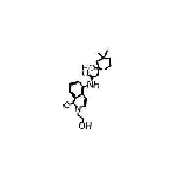 CC1(C)CCCC(O)(CC(=O)Nc2cccc3c(=O)n(CCO)ccc23)C1